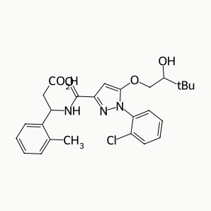 Cc1ccccc1C(CC(=O)O)NC(=O)c1cc(OCC(O)C(C)(C)C)n(-c2ccccc2Cl)n1